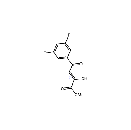 COC(=O)/C(O)=C/C(=O)c1cc(F)cc(F)c1